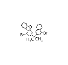 CC1(C)c2cc(Br)c3ccccc3c2-c2c1cc(Br)c1c2oc2ccccc21